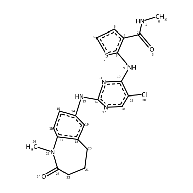 CNC(=O)c1ccsc1Nc1nc(Nc2ccc3c(c2)CCCC(=O)N3C)ncc1Cl